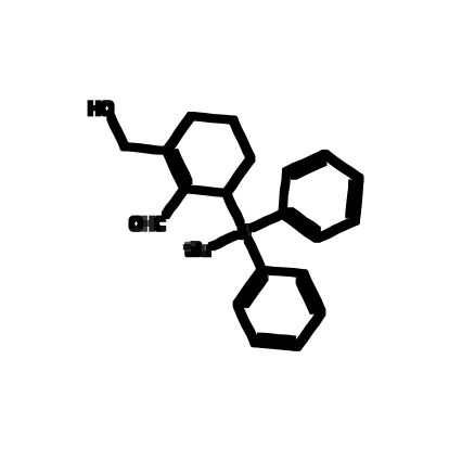 CC(C)(C)[Si](c1ccccc1)(c1ccccc1)C1CCCC(CO)=C1C=O